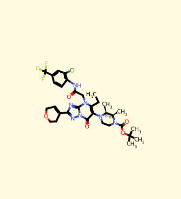 CCc1c(N2CCN(C(=O)OC(C)(C)C)[C@H](C)[C@@H]2C)c(=O)n2nc(C3=CCOCC3)nc2n1CC(=O)Nc1ccc(C(F)(F)F)cc1Cl